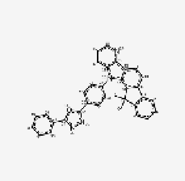 CC1(C)c2ccccc2-c2ccc3c4ncccc4n(-c4ccc(-c5nnc(-c6ccccc6)o5)cc4)c3c21